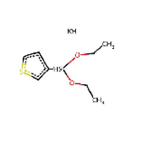 CCO[SiH](OCC)c1ccsc1.[KH]